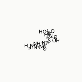 CC(O)[C@H]1C(=O)N2C(C(=O)O)=C(S[C@H]3C[C@@H](C(=O)N4CC(NC(=N)N)C4)N(C)C3)[C@H](C)[C@H]12